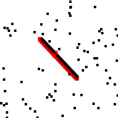 CCCCCCCCC=CCCCCCCCCCCCCCC(=O)OCCCCCCCCCCCCCCCCCCCCCCCCCCCCCCCCCCCCC